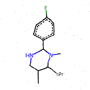 CCCC1C(C)CNC(c2ccc(F)cc2)N1C